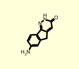 Nc1ccc2c(c1)Cc1cc(=O)[nH]nc1-2